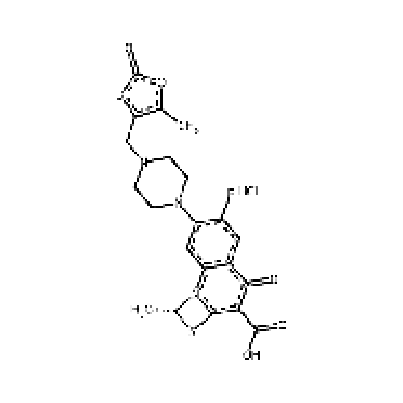 Cc1oc(=O)oc1CN1CCN(c2cc3c(cc2F)c(=O)c(C(=O)O)c2n3[C@@H](C)S2)CC1.Cl